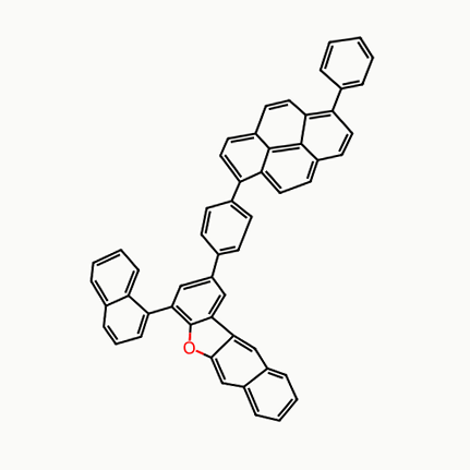 c1ccc(-c2ccc3ccc4c(-c5ccc(-c6cc(-c7cccc8ccccc78)c7oc8cc9ccccc9cc8c7c6)cc5)ccc5ccc2c3c54)cc1